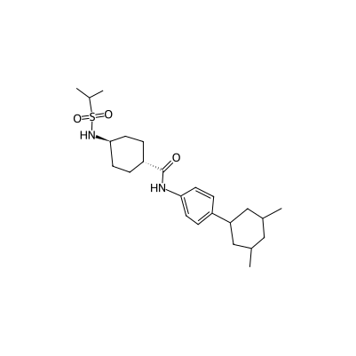 CC1CC(C)CC(c2ccc(NC(=O)[C@H]3CC[C@H](NS(=O)(=O)C(C)C)CC3)cc2)C1